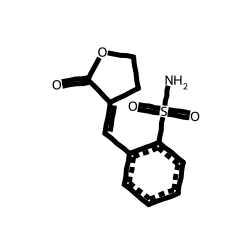 NS(=O)(=O)c1ccccc1C=C1CCOC1=O